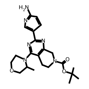 CC1COCCN1c1nc(-c2ccc(N)nc2)nc2c1CCN(C(=O)OC(C)(C)C)C2